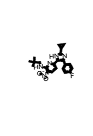 CC(C)(C)CNc1nc(-c2[nH]c(C3CC3)nc2-c2ccc(F)cc2)ccc1[N+](=O)[O-]